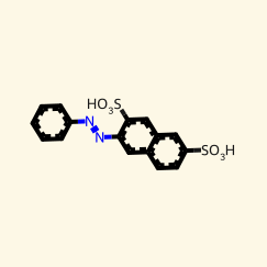 O=S(=O)(O)c1ccc2cc(N=Nc3ccccc3)c(S(=O)(=O)O)cc2c1